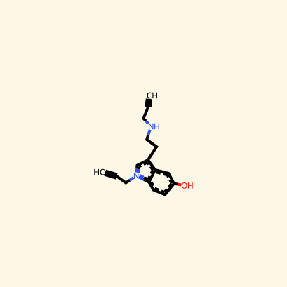 C#CCNCCc1cn(CC#C)c2ccc(O)cc12